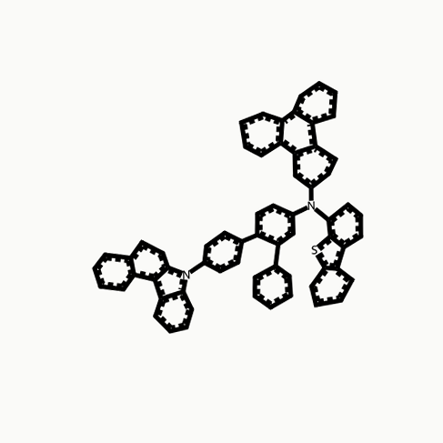 c1ccc(-c2cc(N(c3ccc4c5ccccc5c5ccccc5c4c3)c3cccc4c3sc3ccccc34)ccc2-c2ccc(-n3c4ccccc4c4c5ccccc5ccc43)cc2)cc1